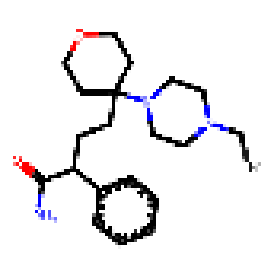 CC(C)CN1CCN(C2(CCC(C(N)=O)c3ccccc3)CCOCC2)CC1